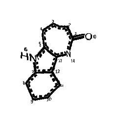 O=c1cccc2[nH]c3ccccc3c2n1